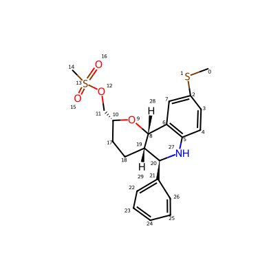 CSc1ccc2c(c1)[C@H]1O[C@@H](COS(C)(=O)=O)CC[C@H]1[C@H](c1ccccc1)N2